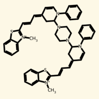 C[n+]1c(/C=C/C=C2/C=CN(c3ccccc3)C(N3CCN(C4C/C(=C\C=C\c5sc6ccccc6[n+]5C)C=CN4c4ccccc4)CC3)C2)sc2ccccc21